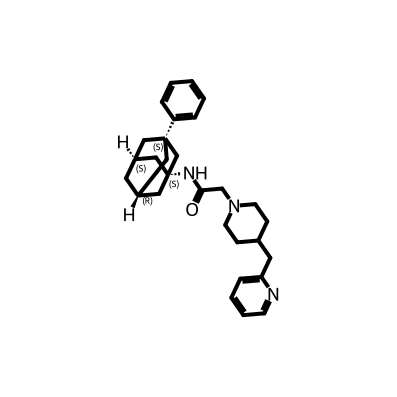 O=C(CN1CCC(Cc2ccccn2)CC1)N[C@@]12C[C@H]3C[C@@H](C1)C[C@@](c1ccccc1)(C3)C2